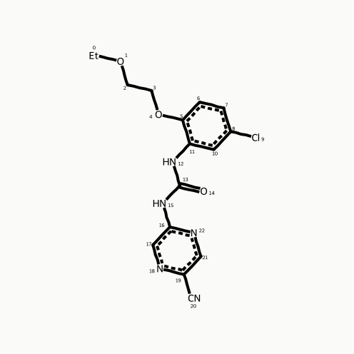 CCOCCOc1ccc(Cl)cc1NC(=O)Nc1cnc(C#N)cn1